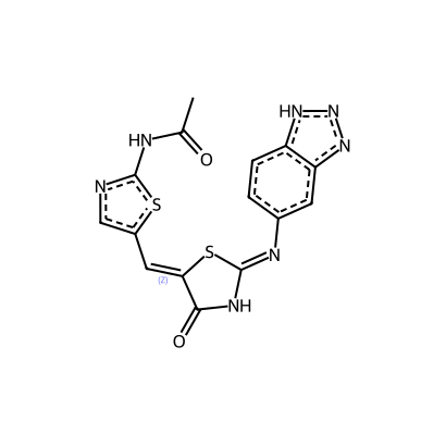 CC(=O)Nc1ncc(/C=C2\SC(=Nc3ccc4[nH]nnc4c3)NC2=O)s1